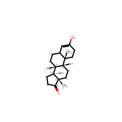 C[C@]12CCC(O)=CC1CC[C@@H]1[C@H]2CC[C@]2(C)C(=O)CC[C@@H]12